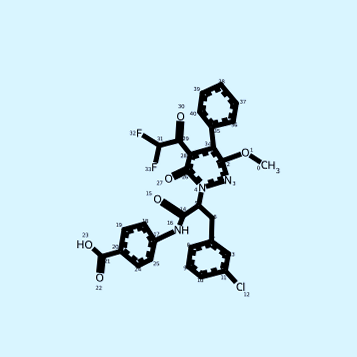 COc1nn(C(Cc2cccc(Cl)c2)C(=O)Nc2ccc(C(=O)O)cc2)c(=O)c(C(=O)C(F)F)c1-c1ccccc1